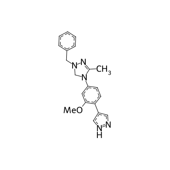 COc1cc(N2CN(Cc3ccccc3)N=C2C)ccc1-c1cn[nH]c1